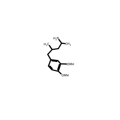 COc1ccc(CC(C)CC(C)N)cc1OC